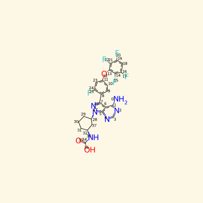 Nc1ncnc2c1c(-c1ccc(Oc3c(F)c(F)cc(F)c3F)cc1F)nn2[C@@H]1CCC[C@H](NC(=O)O)C1